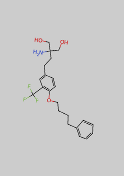 NC(CO)(CO)CCc1ccc(OCCCCc2ccccc2)c(C(F)(F)F)c1